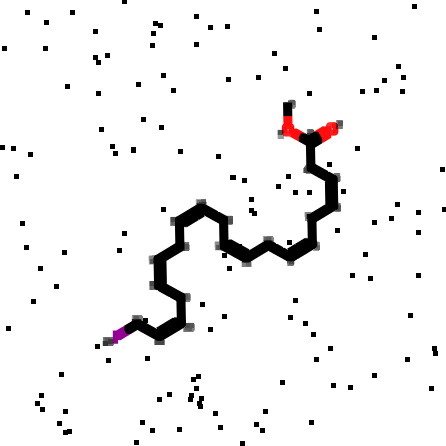 COC(=O)C/C=C\C/C=C\C/C=C\C/C=C\C/C=C\C/C=C\CI